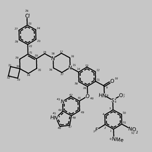 CNc1c(F)cc([S+]([O-])NC(=O)c2ccc(N3CCN(CC4=C(c5ccc(Cl)cc5)CC5(CCC5)CC4)CC3)cc2Oc2cnc3[nH]ccc3c2)cc1[N+](=O)[O-]